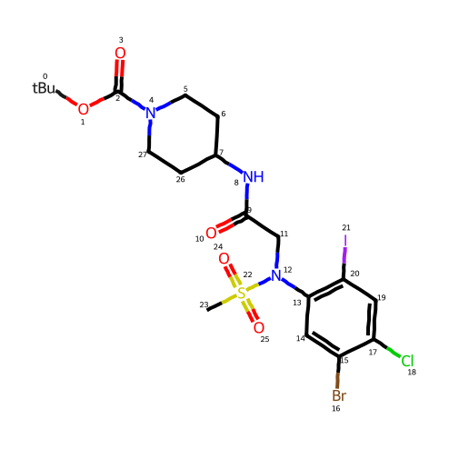 CC(C)(C)OC(=O)N1CCC(NC(=O)CN(c2cc(Br)c(Cl)cc2I)S(C)(=O)=O)CC1